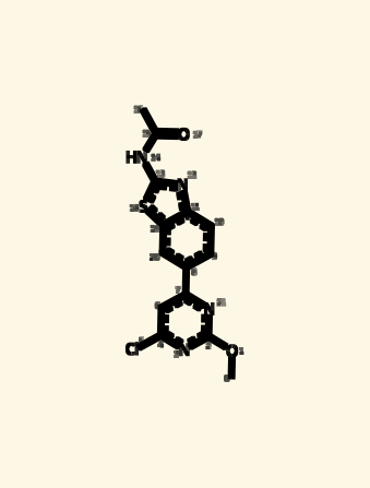 COc1nc(Cl)cc(-c2ccc3nc(NC(C)=O)sc3c2)n1